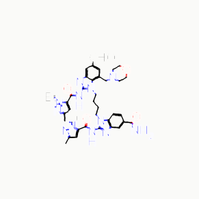 CCn1nc(C)cc1C(=O)Nc1nc2cc(C(N)=O)ccc2n1CCCCn1c(NC(=O)c2cc(C)nn2CC)nc2cc(C=O)cc(CN3CCOCC3)c21